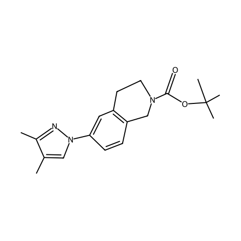 Cc1cn(-c2ccc3c(c2)CCN(C(=O)OC(C)(C)C)C3)nc1C